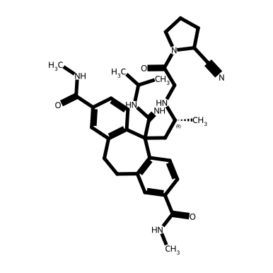 CNC(=O)c1ccc2c(c1)CCc1cc(C(=O)NC)ccc1C2(C[C@@H](C)NCC(=O)N1CCCC1C#N)C(=N)NC(C)C